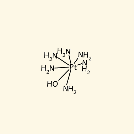 [NH2][Pt]([NH2])([NH2])([NH2])([NH2])([NH2])[OH]